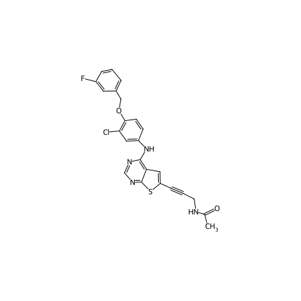 CC(=O)NCC#Cc1cc2c(Nc3ccc(OCc4cccc(F)c4)c(Cl)c3)ncnc2s1